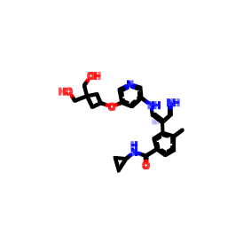 Cc1ccc(C(=O)NC2CC2)cc1/C(C=N)=C/Nc1cncc(OC2CC(CO)(CO)C2)c1